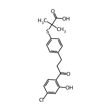 CC(C)(Sc1ccc(CCC(=O)c2ccc(Cl)cc2O)cc1)C(=O)O